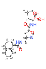 CC(C)C[C@H](NC(=O)C1CC(CNC(=O)c2cccc3ccccc23)=NO1)B(O)O